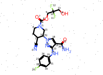 N#CC1CCN(C(=O)OCC(F)(F)CO)C[C@H]1n1cc(C(N)=O)c(Nc2ccc(F)cc2)n1